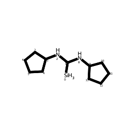 [SiH3]C(NC1CCCC1)NC1CCCC1